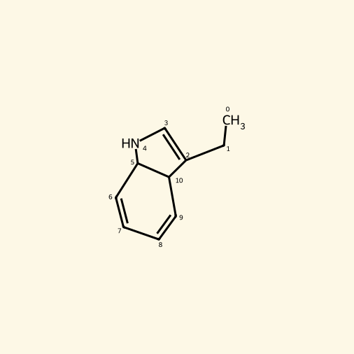 CCC1=CNC2C=CC=CC12